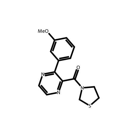 COc1cccc(-c2nccnc2C(=O)N2CCSC2)c1